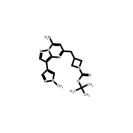 Cn1cc(-c2cnn3c(N)cc(CC4CN(C(=O)OC(C)(C)C)C4)nc23)cn1